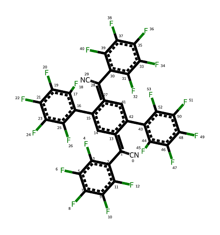 N#C/C(c1c(F)c(F)c(F)c(F)c1F)=c1/cc(-c2c(F)c(F)c(F)c(F)c2F)/c(=C(\C#N)c2c(F)c(F)c(F)c(F)c2F)cc1-c1c(F)c(F)c(F)c(F)c1F